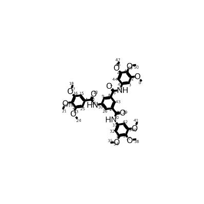 COc1cc(NC(=O)c2cc(NC(=O)c3cc(OC)c(OC)c(OC)c3)cc(C(=O)Nc3cc(OC)c(OC)c(OC)c3)c2)cc(OC)c1OC